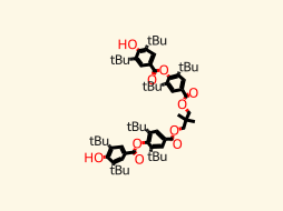 CC(C)(COC(=O)c1cc(C(C)(C)C)c(OC(=O)c2cc(C(C)(C)C)c(O)c(C(C)(C)C)c2)c(C(C)(C)C)c1)COC(=O)c1cc(C(C)(C)C)c(OC(=O)c2cc(C(C)(C)C)c(O)c(C(C)(C)C)c2)c(C(C)(C)C)c1